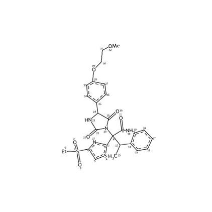 CCS(=O)(=O)c1csc(C(C(N)=O)(C(C)c2ccccc2)N2C(=O)NC(c3ccc(OCCOC)cc3)C2=O)n1